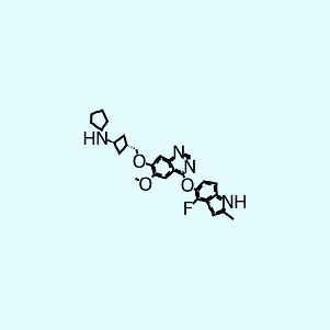 COc1cc2c(Oc3ccc4[nH]c(C)cc4c3F)ncnc2cc1OC[C@H]1C[C@H](NC2CCCC2)C1